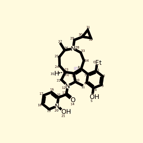 CCc1ccc(O)cc1/C1=C2\C(C)N(C(=O)C3=CC=CCN3O)C[C@H]2CCC(C)N(CC2CC2)CC1